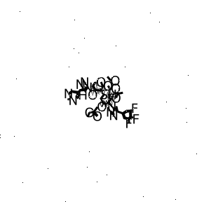 COC(=O)CO[C@H]1C[SH]([C@@H]2COC[C@H](n3cc(-c4cncnc4)nn3)[C@H]2O)[C@H](COC(C)=O)[C@H](OC(C)=O)[C@H]1n1cc(-c2cc(F)c(F)c(F)c2)nn1